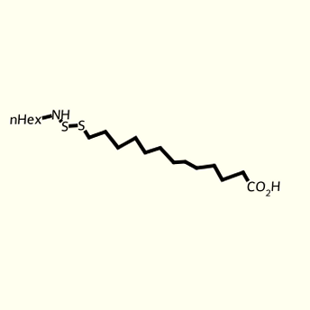 CCCCCCNSSCCCCCCCCCCCCC(=O)O